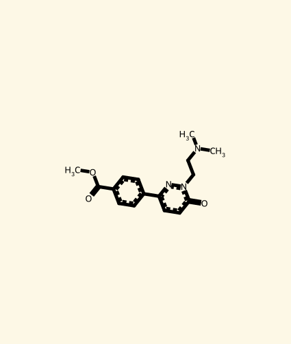 COC(=O)c1ccc(-c2ccc(=O)n(CCN(C)C)n2)cc1